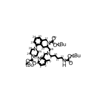 Cc1cccnc1CN(CCCCNC(=O)OC(C)(C)C)CC1Cc2c(cccc2N2CCN(C(=O)OC(C)(C)C)CC2)CN1C(=O)OC(C)(C)C